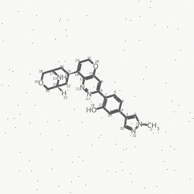 Cn1cc(-c2ccc(-c3cc4c(nn3)C([C@@H]3CC5COC[C@@H](C3)N5)=CCO4)c(O)c2)cn1